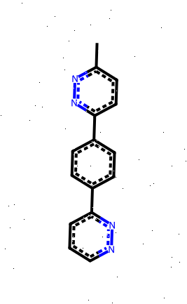 Cc1ccc(-c2ccc(-c3cccnn3)cc2)nn1